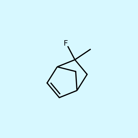 CC1(F)CC2C=CC1C2